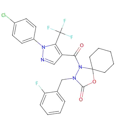 O=C1OC2(CCCCC2)N(C(=O)c2cnn(-c3ccc(Cl)cc3)c2C(F)(F)F)N1Cc1ccccc1F